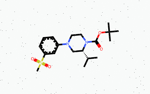 CC(C)[C@@H]1CN(c2cccc(S(C)(=O)=O)c2)CCN1C(=O)OC(C)(C)C